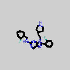 Fc1ccccc1CNc1ncc2nc(-c3ccccc3F)n(CCC3CCNCC3)c2n1